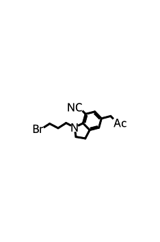 CC(=O)Cc1cc(C#N)c2c(c1)CCN2CCCBr